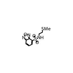 CSCCNS(=O)(=O)c1cccc2nonc12